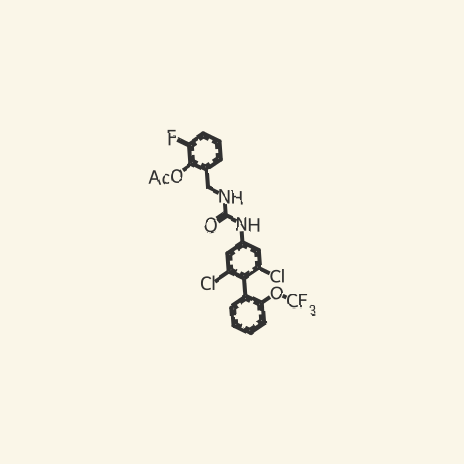 CC(=O)Oc1c(F)cccc1CNC(=O)Nc1cc(Cl)c(-c2ccccc2OC(F)(F)F)c(Cl)c1